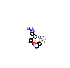 CCOC(=O)C[C@@H](c1ccc(C)c(CN2C[C@@H](C)Cc3ccc(C(F)(F)F)cc3S2(=O)=O)c1)c1ccc2c(nnn2CC)c1C